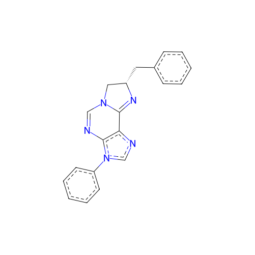 C1=Nc2c(ncn2-c2ccccc2)C2=N[C@@H](Cc3ccccc3)CN12